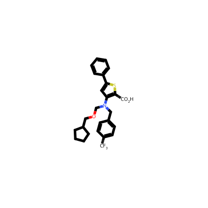 O=C(O)c1sc(-c2ccccc2)cc1N(COCC1CCCC1)Cc1ccc(C(F)(F)F)cc1